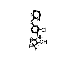 C[C@@](O)(C(=O)Nc1ccc(Sc2ncccn2)cc1Cl)C(F)(F)F